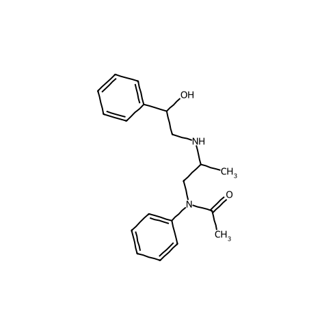 CC(=O)N(CC(C)NCC(O)c1ccccc1)c1ccccc1